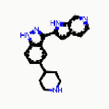 c1cc2cc(-c3n[nH]c4ccc(C5CCNCC5)cc34)[nH]c2cn1